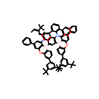 C/C=C(\C=C(/C)N1c2cc3c(cc2B2c4ccc(-c5cc(C(C)(C)C)cc(C(C)(C)C)c5)cc4Oc4cc(-c5ccccc5)cc1c42)B1c2ccc(-c4cc(C(C)(C)C)cc(C(C)(C)C)c4)cc2Oc2cc(-c4ccccc4)cc(c21)N3c1c(-c2ccccc2)cccc1-c1ccccc1)C(C)(C)C